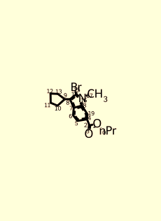 CCCOC(=O)c1ccc2c(C3CCCC3)c(Br)n(C)c2c1